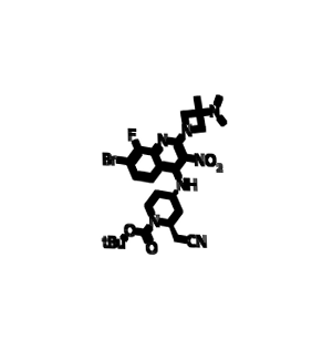 CN(C)C1(C)CN(c2nc3c(F)c(Br)ccc3c(N[C@H]3CCN(C(=O)OC(C)(C)C)[C@H](CC#N)C3)c2[N+](=O)[O-])C1